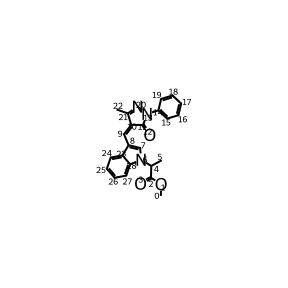 COC(=O)C(C)n1cc(/C=C2\C(=O)N(c3ccccc3)N=C2C)c2ccccc21